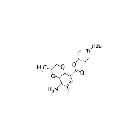 CCCCN1CCC(OC(=O)c2cc(I)c(N)c3c2OCC(C)O3)CC1